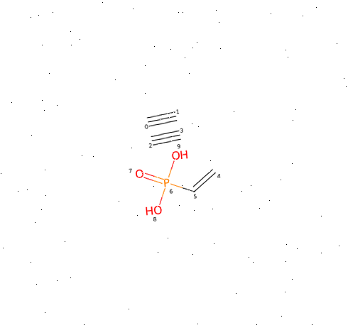 C#C.C#C.C=CP(=O)(O)O